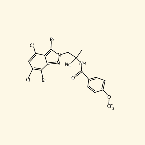 CC(C#N)(Cn1nc2c(Br)c(Cl)cc(Cl)c2c1Br)NC(=O)c1ccc(OC(F)(F)F)cc1